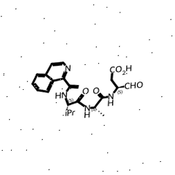 C=C(N[C@H](C(=O)N[C@@H](C)C(=O)N[C@H](C=O)CC(=O)O)C(C)C)c1nccc2ccccc12